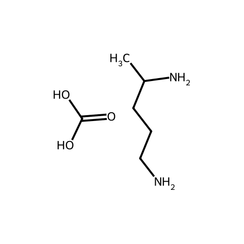 CC(N)CCCN.O=C(O)O